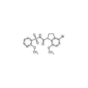 COc1ccc(Br)c2c1C(C(=O)NS(=O)(=O)c1cccnc1OC)CC2